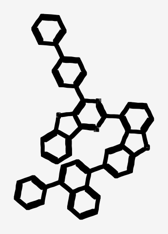 c1ccc(-c2ccc(-c3nc(-c4cccc5oc6ccc(-c7ccc(-c8ccccc8)c8ccccc78)cc6c45)nc4c3sc3ccccc34)cc2)cc1